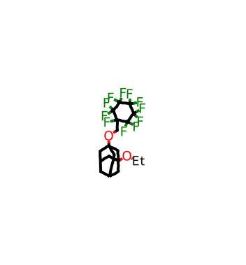 CCOC12CC3CC(C1)CC(OCC1(F)C(F)(F)C(F)(F)C(F)(F)C(F)(F)C1(F)F)(C3)C2